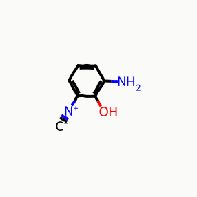 [C-]#[N+]c1cccc(N)c1O